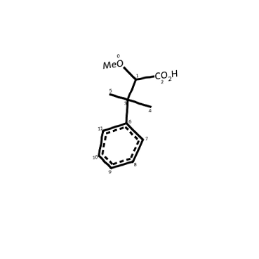 COC(C(=O)O)C(C)(C)c1ccccc1